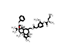 C=C(C)[C@]12C[C@@H](C)[C@@]34O[C@](Cc5ccccc5)(O[C@@H]1[C@@H]3C=C(COC(=O)Cc1ccc(OC(=O)N(C)CCN)c(OC)c1)C[C@]1(O)C(=O)C(C)=C[C@@H]41)O2